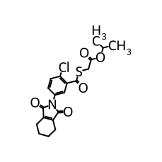 CC(C)OC(=O)CSC(=O)c1cc(N2C(=O)C3=C(CCCC3)C2=O)ccc1Cl